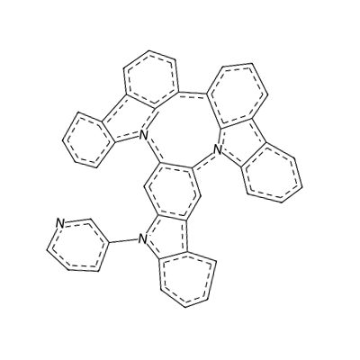 c1cncc(-n2c3ccccc3c3cc4c(cc32)n2c3ccccc3c3cccc(c5cccc6c7ccccc7n4c65)c32)c1